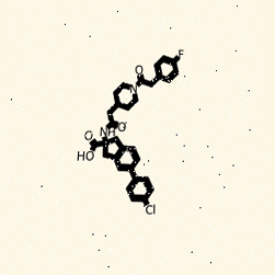 O=C(CC1CCN(C(=O)Cc2ccc(F)cc2)CC1)NC1(C(=O)O)Cc2ccc(-c3ccc(Cl)cc3)cc2C1